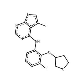 Cc1csc2ncnc(Nc3cccc(F)c3OC3CCOC3)c12